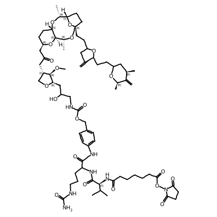 C=C1CC(CC[C@]23CC[C@H](O2)[C@@H](C)O[C@H]2CC[C@H](CC(=O)C[C@H]4CO[C@H](CC(O)CNC(=O)OCc5ccc(NC(=O)C(CCCNC(N)=O)NC(=O)[C@@H](NC(=O)CCCCCC(=O)ON6C(=O)CCC6=O)C(C)C)cc5)[C@@H]4OC)O[C@@H]2[C@@H](C)O3)OC1CCC1C[C@@H](C)C(=C)[C@@H](C)O1